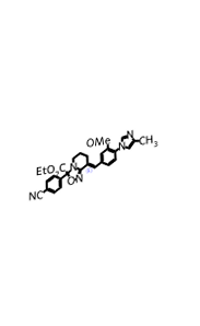 CCOC(=O)C1(c2ccc(C#N)cc2)ON=C2/C(=C/c3ccc(-n4cnc(C)c4)c(OC)c3)CCCN21